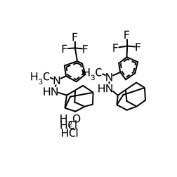 CN(NC1C2CC3CC(C2)CC1C3)c1cccc(C(F)(F)F)c1.CN(NC1C2CC3CC(C2)CC1C3)c1cccc(C(F)(F)F)c1.Cl.Cl.O